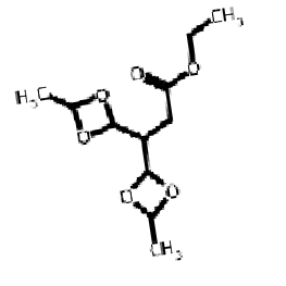 CCOC(=O)CC(C1OC(C)O1)C1OC(C)O1